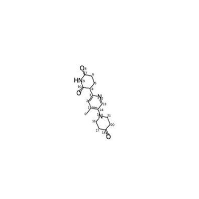 Cc1cc(C2CCC(=O)NC2=O)ncc1N1CCC(=O)CC1